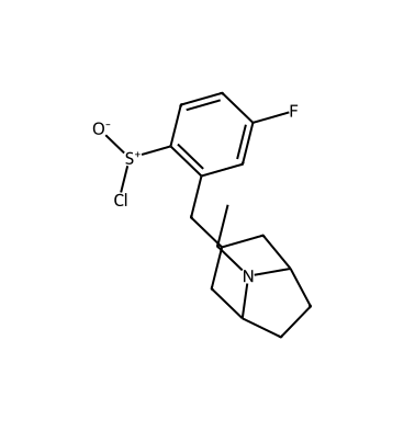 CCN1C2CCC1CC(Cc1cc(F)ccc1[S+]([O-])Cl)C2